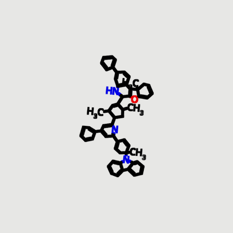 CC1CC(c2cc(-c3ccccc3)cc(C3=CCC(C)(n4c5ccccc5c5ccccc54)C=C3)n2)C(C)C=C1C1Nc2cc(-c3ccccc3)ccc2C2=C1OC1=CC=CCC12C